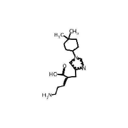 CC1(C)CCC(n2cnc(C/C(=C/CCN)C(=O)O)c2)CC1